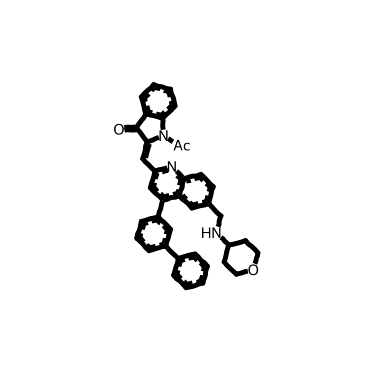 CC(=O)N1/C(=C\c2cc(-c3cccc(-c4ccccc4)c3)c3cc(CNC4CCOCC4)ccc3n2)C(=O)c2ccccc21